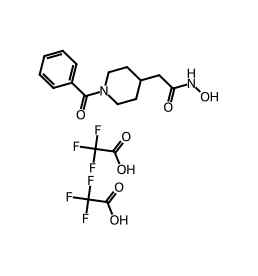 O=C(CC1CCN(C(=O)c2ccccc2)CC1)NO.O=C(O)C(F)(F)F.O=C(O)C(F)(F)F